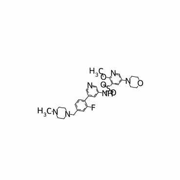 COc1ncc(N2CCOCC2)cc1S(=O)(=O)Nc1cncc(-c2ccc(CN3CCN(C)CC3)cc2F)c1